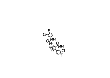 NC(=O)c1c(-c2ccc(F)c(Cl)c2)nn2c1CN(C(=O)Nc1ccc(F)c(Cl)c1)CC2